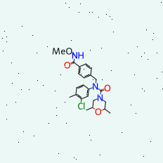 CONC(=O)c1ccc(CN(C(=O)N2CC(C)OC(C)C2)c2ccc(C)c(Cl)c2)cc1